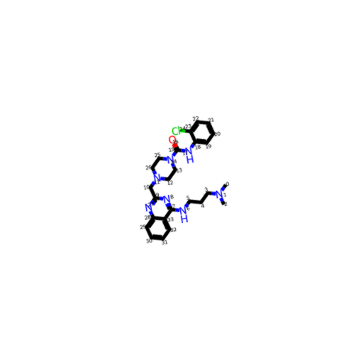 CN(C)CCCNc1nc(CN2CCN(C(=O)Nc3ccccc3Cl)CC2)nc2ccccc12